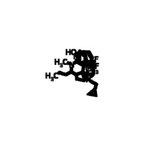 CCCC(C1CCC2(C)C3CC4=C(C=C(O)CC=C4)C12CCN3CC1CC1)N(C)c1cc(C(F)(F)F)ccn1